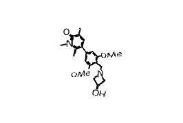 COc1cc(-c2cc(C)c(=O)n(C)c2C)cc(OC)c1CN1CC(O)C1